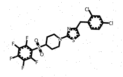 O=S(=O)(c1c(F)c(F)c(F)c(F)c1F)C1CCN(c2nc(Cc3ccc(Cl)cc3Cl)cs2)CC1